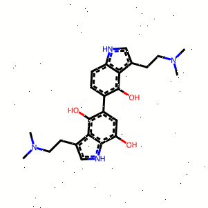 CN(C)CCc1c[nH]c2ccc(-c3cc(O)c4[nH]cc(CCN(C)C)c4c3O)c(O)c12